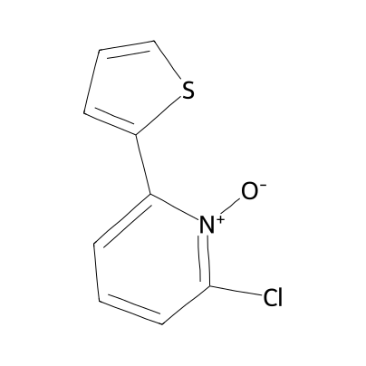 [O-][n+]1c(Cl)cccc1-c1cccs1